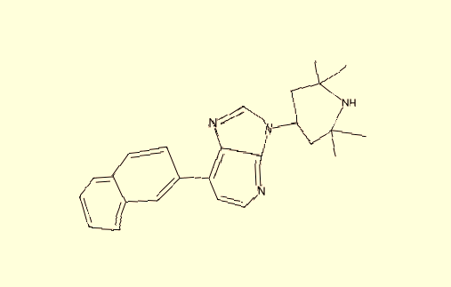 CC1(C)CC(n2cnc3c(-c4ccc5ccccc5c4)ccnc32)CC(C)(C)N1